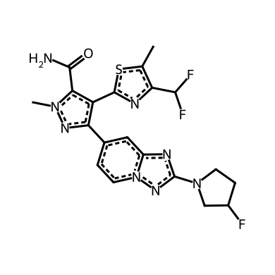 Cc1sc(-c2c(-c3ccn4nc(N5CCC(F)C5)nc4c3)nn(C)c2C(N)=O)nc1C(F)F